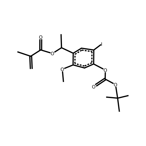 C=C(C)C(=O)OC(C)c1cc(I)c(OC(=O)OC(C)(C)C)cc1OC